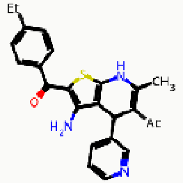 CCc1ccc(C(=O)c2sc3c(c2N)C(c2cccnc2)C(C(C)=O)=C(C)N3)cc1